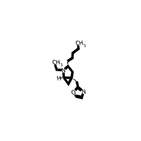 CCCCC[C@@H]1C[C@@]2(Cc3ncco3)C[C@H]2N1CC